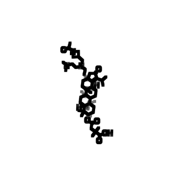 CC(=O)N1CC(CN(CCN(C)C)CC[C@@]23CC[C@]4(C)[C@H](CCC5[C@@]6(C)CC[C@H](OC(=O)CC(C)(C)C(=O)O)C(C)(C)[C@@H]6CC[C@]54C)C2=C(C(C)C)C(=O)C3)C1